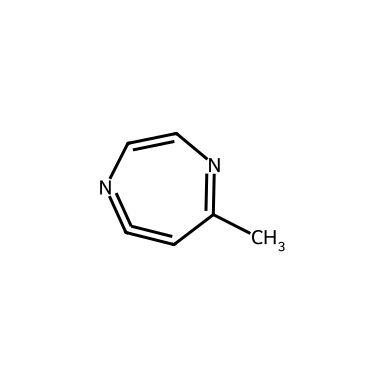 CC1=NC=CN=C=C1